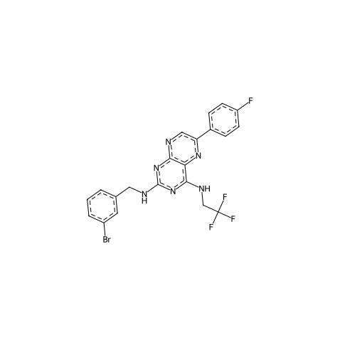 Fc1ccc(-c2cnc3nc(NCc4cccc(Br)c4)nc(NCC(F)(F)F)c3n2)cc1